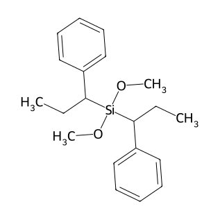 CCC(c1ccccc1)[Si](OC)(OC)C(CC)c1ccccc1